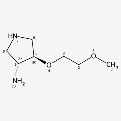 COCCO[C@@H]1CNC[C@H]1N